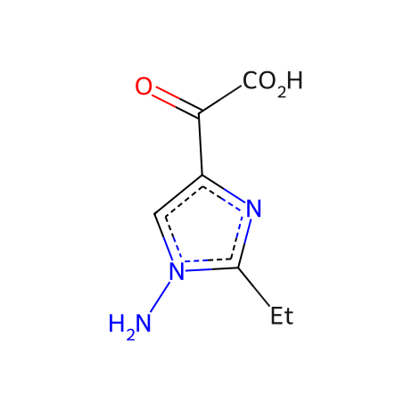 CCc1nc(C(=O)C(=O)O)cn1N